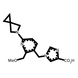 COCc1nc(N2CC3(CC3)C2)ccc1Cn1cnc(C(=O)O)c1